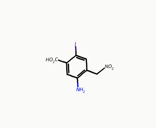 Nc1cc(C(=O)O)c(I)cc1C[N+](=O)[O-]